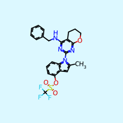 Cc1cc2c(OS(=O)(=O)C(F)(F)F)cccc2n1-c1nc(NCc2ccccc2)c2c(n1)OCCC2